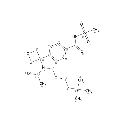 C[S+]([O-])N(COCC[Si](C)(C)C)C1(c2ccc(C(=O)NS(C)(=O)=O)cc2)COC1